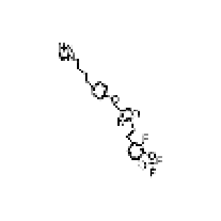 Fc1c(C=Cc2nc(COc3ccc(CCCCn4ccnn4)cc3)co2)ccc2c1OC(F)(F)O2